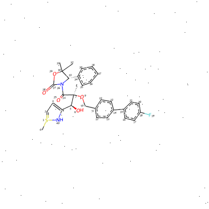 CS1=CC=C([C@H](O)[C@](C)(OCc2ccc(-c3ccc(F)cc3)cc2)C(=O)N2C(=O)OC(C)(C)[C@@H]2c2ccccc2)N1